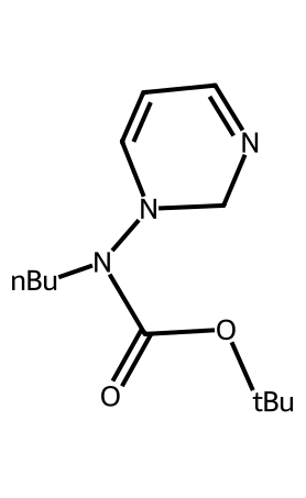 CCCCN(C(=O)OC(C)(C)C)N1C=CC=NC1